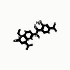 CCn1c(=O)cc(C(C)C)c2cc(N(C)C(=O)c3ccc(C(C)C)cc3N)ccc21